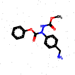 COC(=O)NN(C(=O)Oc1ccccc1)c1ccc(CN)cc1